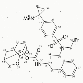 CNC1(c2ccc(S(=O)(=O)N(CC[C@H](Cc3ccccc3)NC(=O)OC3C4COC5OC3CC5C4)CC(C)C)cc2)CC1